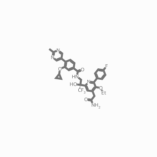 CCOc1c(CC(N)=O)cc([C@@](O)(CNC(=O)c2ccc(-c3cnc(C)nc3)c(OC3CC3)c2)C(F)(F)F)nc1-c1ccc(F)cc1